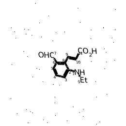 CCNc1cccc(C=O)c1C=CC(=O)O